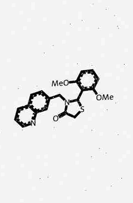 COc1cccc(OC)c1C1SCC(=O)N1Cc1ccc2cccnc2c1